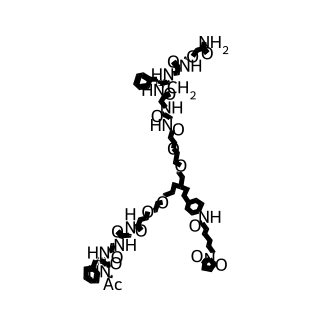 C=C(NCC(=O)NCOCC(N)=O)[C@H](Cc1ccccc1)NC(=O)CNC(=O)CNC(=O)CCOCCOCCC(CCCOCCOCCC(=O)NCC(=O)NCC(=O)N[C@@H](Cc1ccccc1)C(=O)NCC(C)=O)CCC1CCC(NC(=O)CCCCCN2C(=O)C=CC2=O)CC1